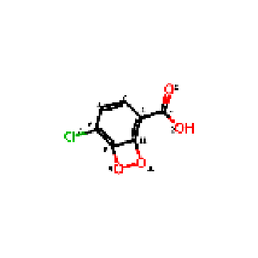 O=C(O)c1ccc(Cl)c2ooc12